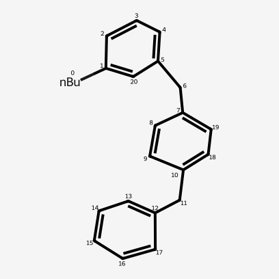 CCCCc1cccc(Cc2ccc(Cc3ccccc3)cc2)c1